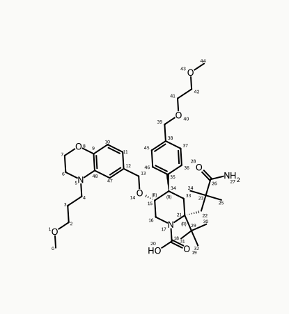 COCCCN1CCOc2ccc(CO[C@H]3CN(C(=O)O)[C@](CC(C)(C)C(N)=O)(C(C)(C)C)C[C@@H]3c3ccc(COCCOC)cc3)cc21